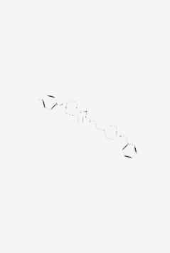 O=C(NCCC1CCN(Cc2ccccc2)CC1)N1CCN(c2ccc(F)cc2)CC1